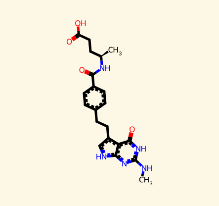 CNc1nc2[nH]cc(CCc3ccc(C(=O)N[C@H](C)CCC(=O)O)cc3)c2c(=O)[nH]1